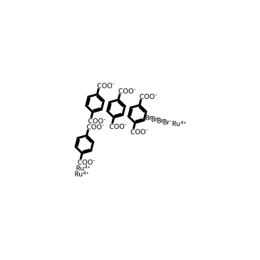 O=C([O-])c1ccc(C(=O)[O-])cc1.O=C([O-])c1ccc(C(=O)[O-])cc1.O=C([O-])c1ccc(C(=O)[O-])cc1.O=C([O-])c1ccc(C(=O)[O-])cc1.[Br-].[Br-].[Br-].[Br-].[Ru+4].[Ru+4].[Ru+4]